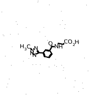 Cn1nnc(-c2cccc(C(=O)NCCC(=O)O)c2)n1